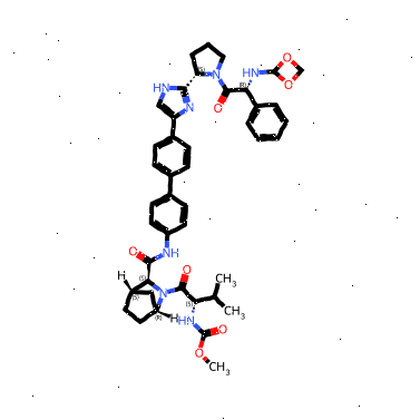 COC(=O)N[C@H](C(=O)N1[C@@H]2CC[C@@H](C2)[C@H]1C(=O)Nc1ccc(-c2ccc(-c3c[nH]c([C@@H]4CCCN4C(=O)[C@H](NC4OCO4)c4ccccc4)n3)cc2)cc1)C(C)C